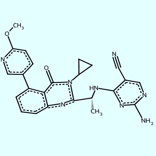 COc1ccc(-c2cccc3nc([C@@H](C)Nc4nc(N)ncc4C#N)n(C4CC4)c(=O)c23)cn1